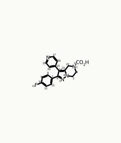 O=C(O)N1CCn2nc(-c3ccc(F)cc3)c(-c3ccncc3)c2C1